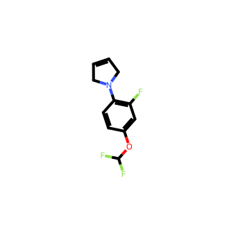 Fc1cc(OC(F)F)ccc1N1CC=CC1